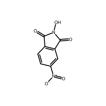 O=C1c2ccc([N+](=O)[O-])cc2C(=O)N1O